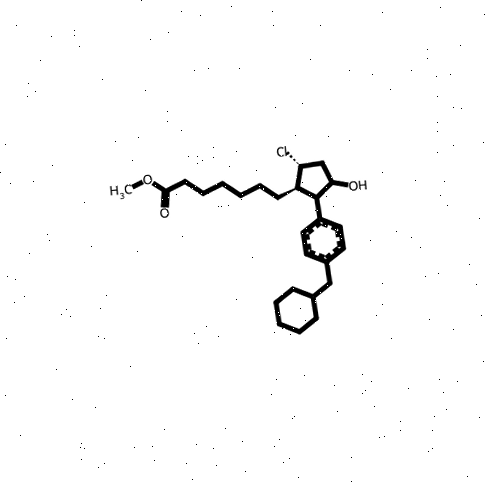 COC(=O)CCCCCC[C@@H]1C(c2ccc(CC3CCCCC3)cc2)C(O)C[C@H]1Cl